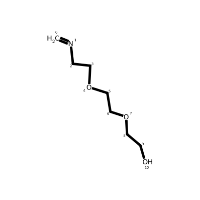 C=NCCOCCOCCO